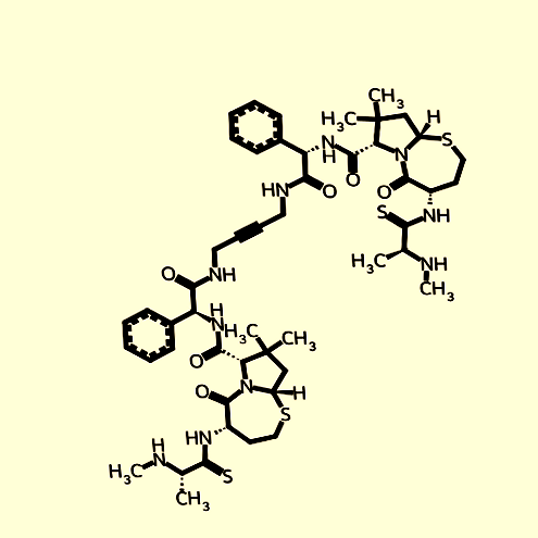 CN[C@@H](C)C(=S)N[C@H]1CCS[C@H]2CC(C)(C)[C@@H](C(=O)N[C@H](C(=O)NCC#CCNC(=O)[C@@H](NC(=O)[C@H]3N4C(=O)[C@@H](NC(=S)[C@H](C)NC)CCS[C@H]4CC3(C)C)c3ccccc3)c3ccccc3)N2C1=O